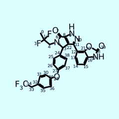 CC(F)(F)CN1C(=O)c2[nH]nc(-c3cccc4[nH]c(=O)oc34)c2C1c1ccc(Oc2ccc(CC(F)(F)F)cc2)cc1